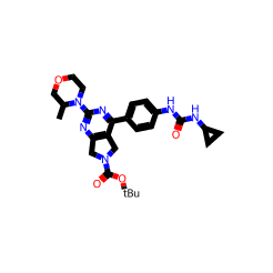 CC1COCCN1c1nc2c(c(-c3ccc(NC(=O)NC4CC4)cc3)n1)CN(C(=O)OC(C)(C)C)C2